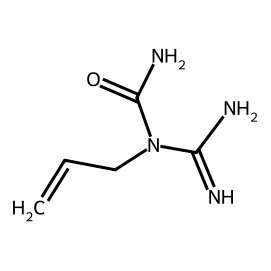 C=CCN(C(=N)N)C(N)=O